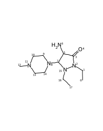 CCN1C(=O)C(N)C(N2CCN(C)CC2)N1CC